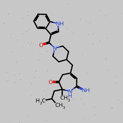 CC(C)CC1(C)NC(=N)C=C(CC2CCN(C(=O)c3c[nH]c4ccccc34)CC2)CC1=O